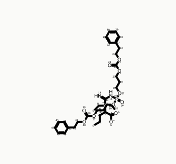 CCCC(C(=O)[O-])[N+](CC)(CC)C(=N)NP(=O)(OCCCOC(=O)OCCc1ccccc1)OCCCOC(=O)OCCc1ccccc1